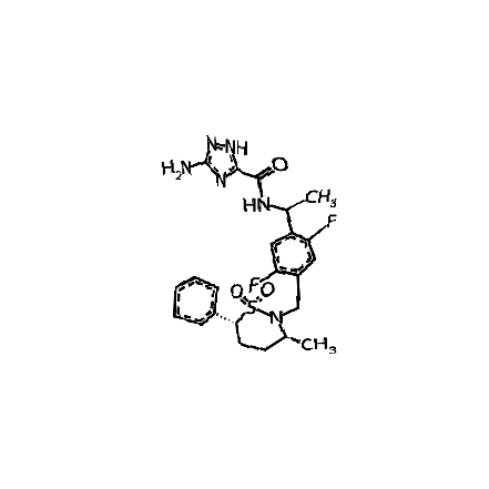 CC(NC(=O)c1nc(N)n[nH]1)c1cc(F)c(CN2[C@@H](C)CC[C@H](c3ccccc3)S2(=O)=O)cc1F